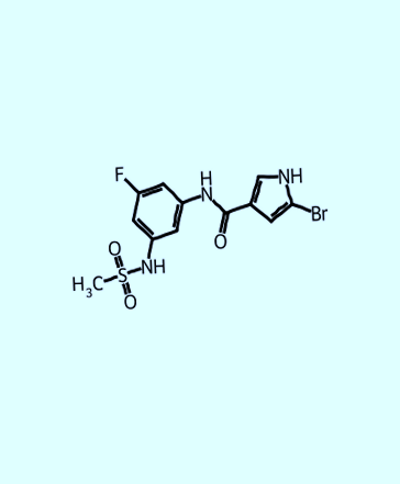 CS(=O)(=O)Nc1cc(F)cc(NC(=O)c2c[nH]c(Br)c2)c1